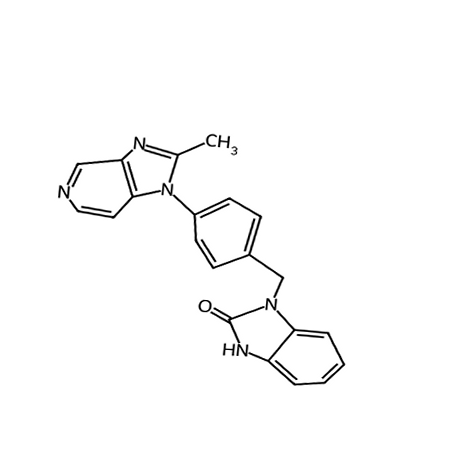 Cc1nc2cnccc2n1-c1ccc(Cn2c(=O)[nH]c3ccccc32)cc1